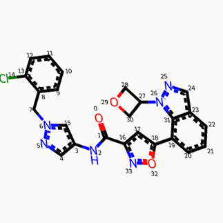 O=C(Nc1cnn(Cc2ccccc2Cl)c1)c1cc(-c2cccc3cnn(C4COC4)c23)on1